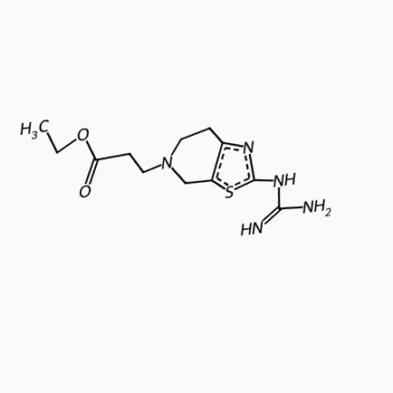 CCOC(=O)CCN1CCc2nc(NC(=N)N)sc2C1